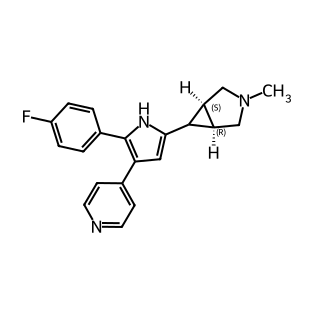 CN1C[C@@H]2C(c3cc(-c4ccncc4)c(-c4ccc(F)cc4)[nH]3)[C@@H]2C1